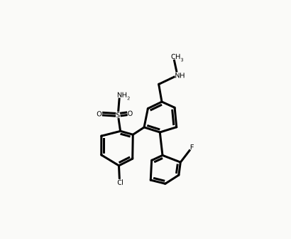 CNCc1ccc(-c2ccccc2F)c(-c2cc(Cl)ccc2S(N)(=O)=O)c1